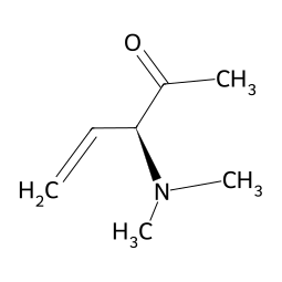 C=C[C@@H](C(C)=O)N(C)C